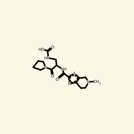 CN1CCc2nc(C(=O)NC(CNC(=O)O)C(=O)N3CCCC3)sc2C1